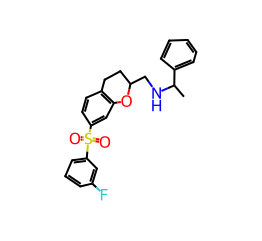 CC(NCC1CCc2ccc(S(=O)(=O)c3cccc(F)c3)cc2O1)c1ccccc1